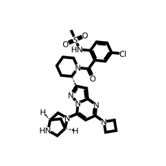 CS(=O)(=O)Nc1ccc(Cl)cc1C(=O)N1CCCC[C@H]1c1cc2nc(N3CCC3)cc(N3C[C@H]4C[C@@H]3CN4)n2n1